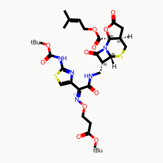 CC(C)=CCOC(=O)[C@]12OC(=O)C[C@H]1CS[C@@H]1[C@H](CNC(=O)/C(=N\OCCC(=O)OC(C)(C)C)c3csc(NC(=O)OC(C)(C)C)n3)C(=O)N12